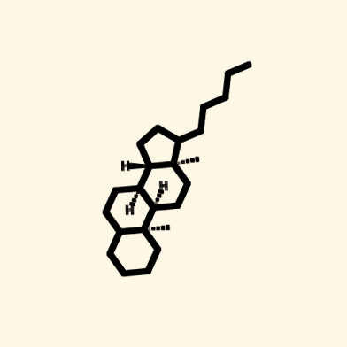 CCCCCC1CC[C@H]2[C@@H]3CCC4CCCC[C@]4(C)[C@@H]3CC[C@]12C